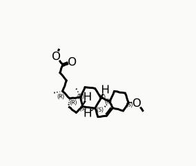 COC(=O)CC[C@@H](C)[C@H]1CC[C@H]2[C@@H]3CC=C4C[C@@H](OC)CC[C@]4(C)[C@H]3CC[C@]12C